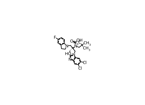 CC(C)(C)CN(C(=O)O)[C@](CO)(CN1CCc2cc(F)ccc21)Cn1cnc2cc(Cl)c(Cl)cc21